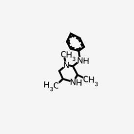 CC1CN(C)C(Nc2ccccc2)C(C)N1